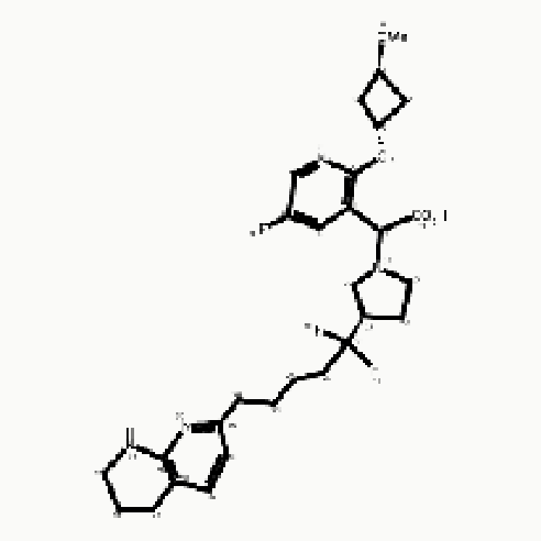 CO[C@H]1C[C@H](Oc2ncc(F)cc2C(C(=O)O)N2CC[C@@H](C(F)(F)CCCCc3ccc4c(n3)NCCC4)C2)C1